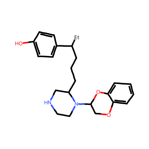 CCC(CCCC1CNCCN1C1COc2ccccc2O1)c1ccc(O)cc1